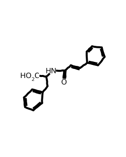 O=C(C=Cc1ccccc1)NC(Cc1ccccc1)C(=O)O